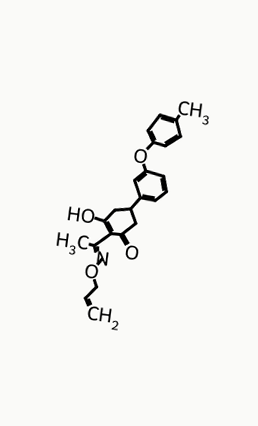 C=CCON=C(C)C1=C(O)CC(c2cccc(Oc3ccc(C)cc3)c2)CC1=O